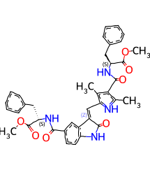 COC(=O)[C@H](Cc1ccccc1)NC(=O)c1ccc2c(c1)/C(=C/c1[nH]c(C)c(C(=O)N[C@@H](Cc3ccccc3)C(=O)OC)c1C)C(=O)N2